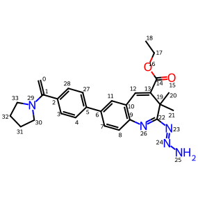 C=C(c1ccc(-c2ccc3c(c2)C=C(C(=O)OCC)C(C)(C)C(N=NN)=N3)cc1)N1CCCC1